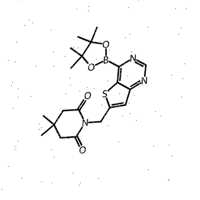 CC1(C)CC(=O)N(Cc2cc3ncnc(B4OC(C)(C)C(C)(C)O4)c3s2)C(=O)C1